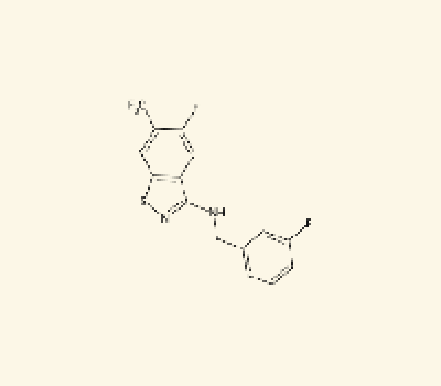 Fc1cccc(CNc2nsc3cc(C(F)(F)F)c(F)cc23)c1